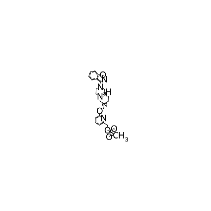 CS(=O)(=O)OCc1cccc(OC[C@@H]2CC[C@H]3CN(c4noc5ccccc45)CCN3C2)n1